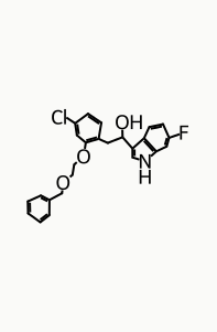 OC(Cc1ccc(Cl)cc1OCCOCc1ccccc1)c1c[nH]c2cc(F)ccc12